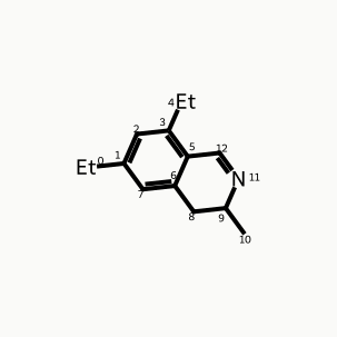 CCc1cc(CC)c2c(c1)CC(C)N=C2